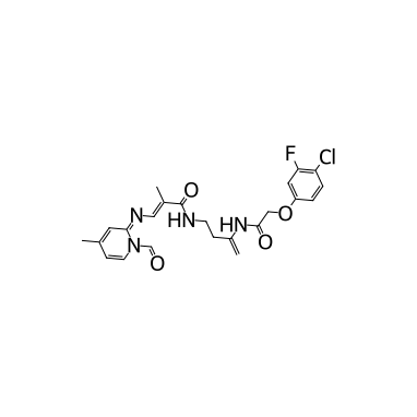 C=C(CCNC(=O)/C(C)=C/N=c1/cc(C)ccn1C=O)NC(=O)COc1ccc(Cl)c(F)c1